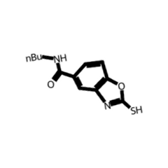 CCCCNC(=O)c1ccc2oc(S)nc2c1